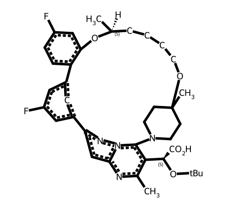 Cc1nc2cc3nn2c(c1[C@H](OC(C)(C)C)C(=O)O)N1CCC(C)(CC1)OCCCC[C@H](C)Oc1cc(F)ccc1-c1cc(F)cc-3c1